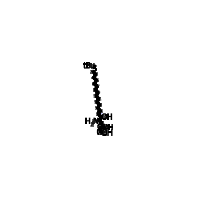 CC(C)(C)SCCCCCCCCCCCCC/C=C/[C@@H](O)[C@@H](N)COP(=O)(O)O